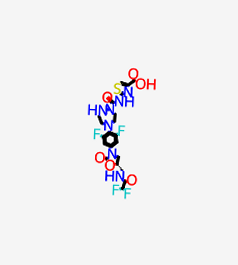 O=C(O)c1csc(NC(=O)N2CCN(c3c(F)cc(N4C[C@H](CNC(=O)C(F)F)OC4=O)cc3F)CCN2)n1